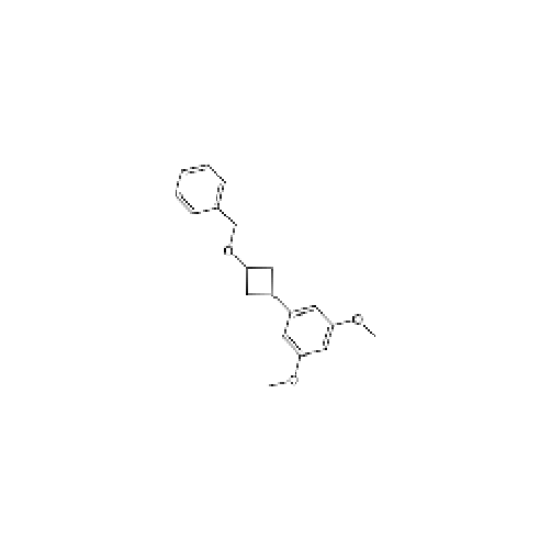 COc1cc(OC)cc(C2CC(OCc3ccccc3)C2)c1